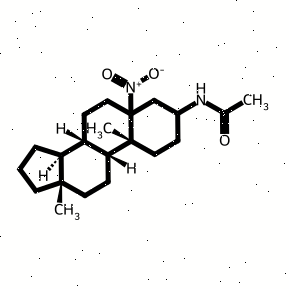 CC(=O)NC1CC[C@]2(C)[C@@H]3CC[C@]4(C)CCC[C@H]4[C@@H]3CCC2([N+](=O)[O-])C1